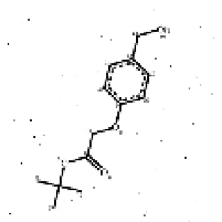 CC(C)(C)OC(=O)COc1ccc(CO)cc1